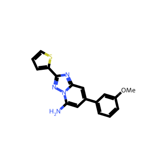 COc1cccc(-c2cc(N)n3nc(-c4cccs4)nc3c2)c1